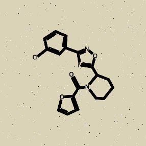 O=C(c1ccco1)N1CCCCC1c1nc(-c2cccc(Cl)c2)no1